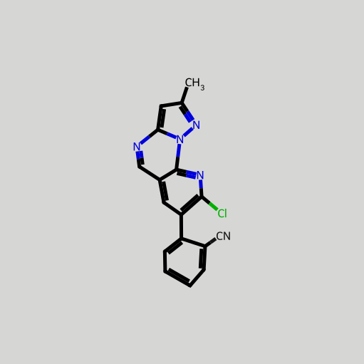 Cc1cc2ncc3cc(-c4ccccc4C#N)c(Cl)nc3n2n1